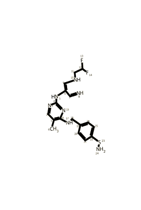 Cc1cnc(N/C(C=N)=C/NCC(F)F)nc1NCc1ccc(SN)cc1